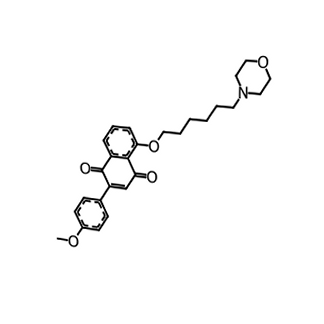 COc1ccc(C2=CC(=O)c3c(OCCCCCCN4CCOCC4)cccc3C2=O)cc1